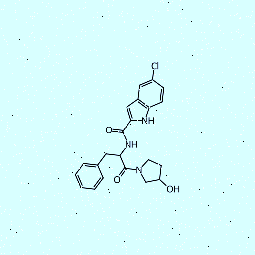 O=C(NC(Cc1ccccc1)C(=O)N1CCC(O)C1)c1cc2cc(Cl)ccc2[nH]1